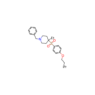 [CH2]CC1(S(=O)(=O)c2ccc(OCCC(C)C)cc2)CCN(Cc2ccccc2)CC1